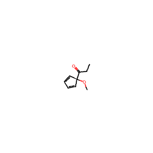 CCC(=O)C1(OC)C=CC=C1